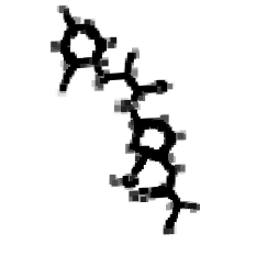 COc1cc(NC(=O)C(C)Oc2ccc(C)cc2C)ccc1CC(=O)C(C)C